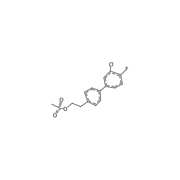 CS(=O)(=O)OCCc1ccc(-c2ccc(F)c(Cl)c2)cc1